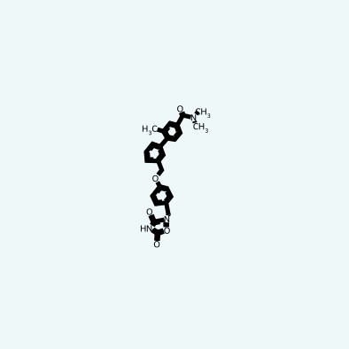 Cc1cc(C(=O)N(C)C)ccc1-c1cccc(COc2ccc(Cn3oc(=O)[nH]c3=O)cc2)c1